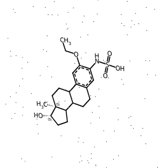 CCOc1cc2c(cc1NS(=O)(=O)O)CCC1C2CC[C@@]2(C)C1CC[C@@H]2O